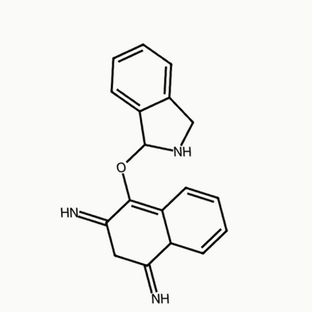 N=C1CC(=N)C2C=CC=CC2=C1OC1NCc2ccccc21